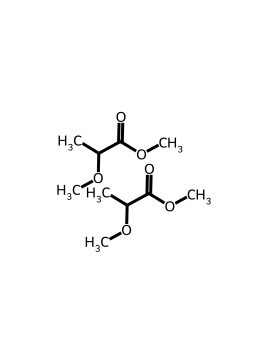 COC(=O)C(C)OC.COC(=O)C(C)OC